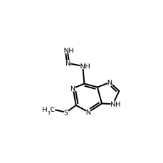 CSc1nc(NN=N)c2nc[nH]c2n1